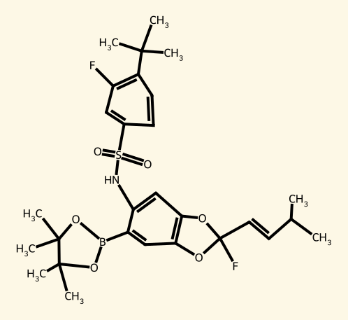 CC(C)/C=C/C1(F)Oc2cc(NS(=O)(=O)c3ccc(C(C)(C)C)c(F)c3)c(B3OC(C)(C)C(C)(C)O3)cc2O1